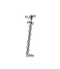 COCCOCCOCCOCCOCCOCCOCCOCCOCCOCCOCCOCCC(=O)NCCCSSC(=N)N